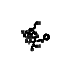 C[C@@H]([C@@H](CCOc1ccccc1)C(=O)N[C@H](C(=O)NCCO)C(C)(C)C)N(O)C=O